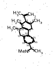 C=C(C)C1=C(C)CC2=C(C1=C)N(C)Cc1cc(C(C)NC)ccc12